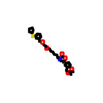 CC1(C)OCc2cc([C@@H]3CN(CCCCCCOCCOCc4cccc(SC5CCCC5)c4)C(=O)O3)ccc2O1